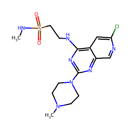 CNS(=O)(=O)CCNc1nc(N2CCN(C)CC2)nc2cnc(Cl)cc12